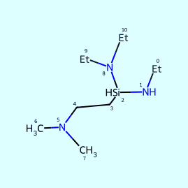 CCN[SiH](CCN(C)C)N(CC)CC